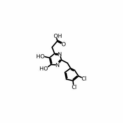 O=C(O)Cc1nc(Cc2ccc(Cl)c(Cl)c2)nc(O)c1O